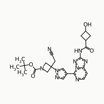 CC(C)(C)OC(=O)N1CC(CC#N)(n2cc(-c3nccc4nc(NC(=O)C5CC(O)C5)nn34)cn2)C1